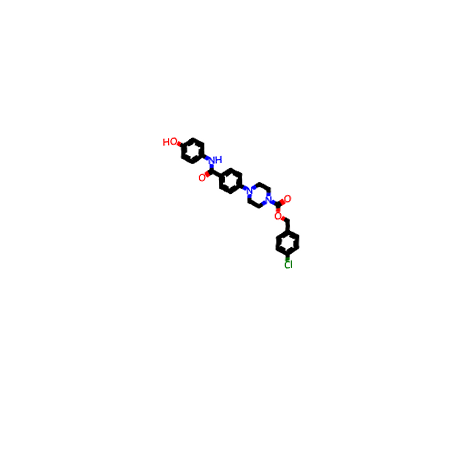 O=C(Nc1ccc(O)cc1)c1ccc(N2CCN(C(=O)OCc3ccc(Cl)cc3)CC2)cc1